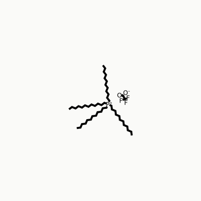 CCCCCCCCCCCC[P+](CCCCCCCCCCCC)(CCCCCCCCCCCC)CCCCCCCCCCCC.O=C([O-])C(F)(F)F